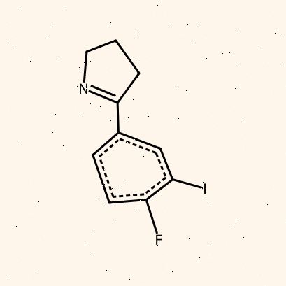 Fc1ccc(C2=NCCC2)cc1I